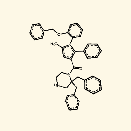 Cc1cc(C(=O)N2CCNCC2(Cc2ccccc2)Cc2ccccc2)c(-c2ccccc2)n1-c1ccccc1OCc1ccccc1